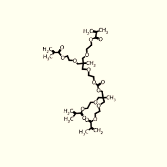 C=C(C)C(=O)OCCOCC(C)(COCCOC(=O)OCC(C)(COCCOC(=O)C(=C)C)COCCOC(=O)C(=C)C)COCCOC(=O)C(=C)C